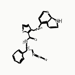 [N-]=[N+]=NC[C@@H](NC(=O)c1sccc1Nc1ccnc2[nH]ccc12)c1ccccc1